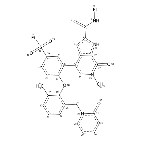 CCNC(=O)c1cc2c(-c3cc(S(=O)(=O)CC)ccc3Oc3c(C)cccc3Cn3ccccc3=O)cn(C)c(=O)c2[nH]1